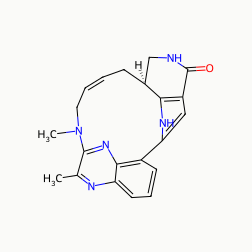 Cc1nc2cccc3c2nc1N(C)C/C=C\C[C@H]1CNC(=O)c2cc-3[nH]c21